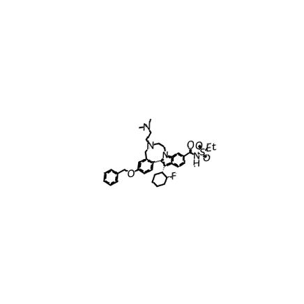 CCS(=O)(=O)NC(=O)c1ccc2c([C@H]3CCCC[C@@H]3F)c3n(c2c1)CCN(CCN(C)C)Cc1cc(OCc2ccccc2)ccc1-3